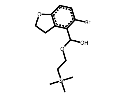 C[Si](C)(C)CCOC(O)c1c(Br)ccc2c1CCO2